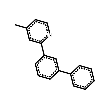 Cc1ccnc(-c2cccc(-c3ccccc3)c2)c1